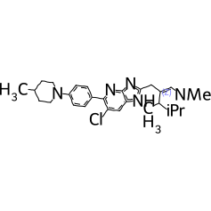 CN/C=C(/Cc1nc2nc(-c3ccc(N4CCC(C)CC4)cc3)c(Cl)cc2[nH]1)C(C)C(C)C